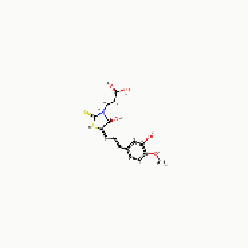 COc1ccc(C=CC=C2SC(=S)N(CCC(=O)O)C2=O)cc1O